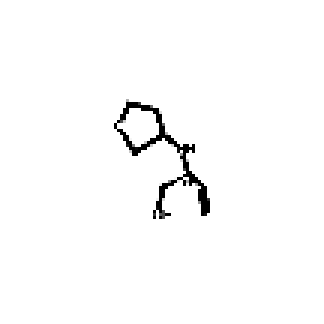 C=C[C@@H](CO)NC1CCOC1